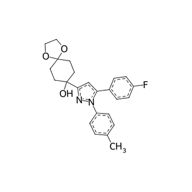 Cc1ccc(-n2nc(C3(O)CCC4(CC3)OCCO4)cc2-c2ccc(F)cc2)cc1